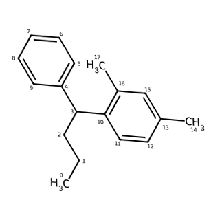 CCCC(c1ccccc1)c1ccc(C)cc1C